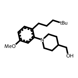 COc1ccc(CCCC(C)(C)C)c(N2CCC(CO)CC2)c1